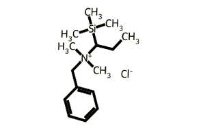 CCC([N+](C)(C)Cc1ccccc1)[Si](C)(C)C.[Cl-]